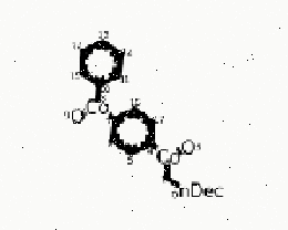 CCCCCCCCCC[CH2][Co](=[O])[c]1cc[c]([Co](=[O])[c]2ccccc2)cc1